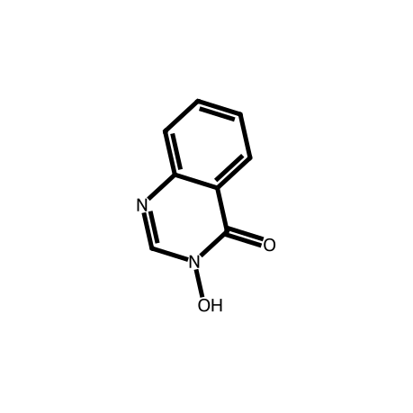 O=c1c2ccccc2ncn1O